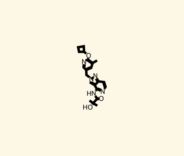 Cc1cc(Cn2cc3c(NC(=O)C(C)(C)O)nccc3n2)cnc1OC1CCC1